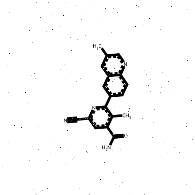 Cc1cnc2ccc(-c3nc(C#N)cc(C(N)=O)c3C)cc2c1